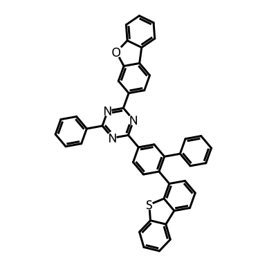 c1ccc(-c2nc(-c3ccc(-c4cccc5c4sc4ccccc45)c(-c4ccccc4)c3)nc(-c3ccc4c(c3)oc3ccccc34)n2)cc1